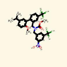 COC(=O)N(Cc1cc([N+](=O)[O-])cc(C(F)(F)F)c1)Cc1cc(C(F)(F)F)ccc1-c1cc(C(C)C)ccc1OC